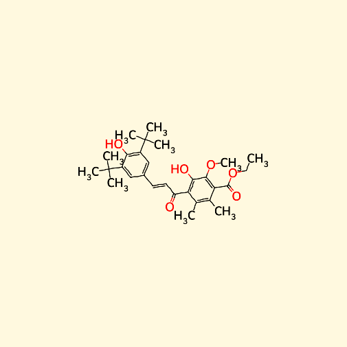 CCOC(=O)c1c(C)c(C)c(C(=O)C=Cc2cc(C(C)(C)C)c(O)c(C(C)(C)C)c2)c(O)c1OC